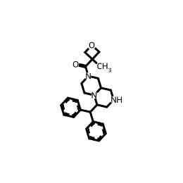 CC1(C(=O)N2CCN3C(CNCC3C(c3ccccc3)c3ccccc3)C2)COC1